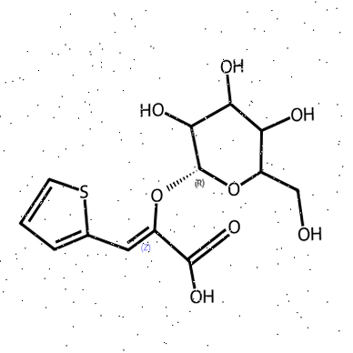 O=C(O)/C(=C/c1cccs1)O[C@H]1OC(CO)C(O)C(O)C1O